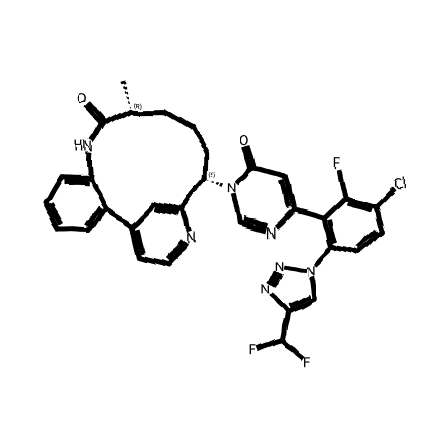 C[C@@H]1CCC[C@H](n2cnc(-c3c(-n4cc(C(F)F)nn4)ccc(Cl)c3F)cc2=O)c2cc(ccn2)-c2ccccc2NC1=O